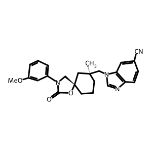 COc1cccc(N2C[C@@]3(CCC[C@](C)(Cn4cnc5ccc(C#N)cc54)C3)OC2=O)c1